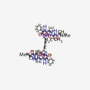 C=C(C)[C@H](NC(=O)[C@H](C)NC)C(=O)N1CCC[C@H]1C(=O)N[C@H](C(=O)NCCC#CC#CCCNC(=O)[C@@H](NC(=O)[C@@H]1CCCN1C(=O)[C@@H](NC(=O)[C@H](C)NC)C(C)(C)C)C1CCCCC1)C1CCCCC1